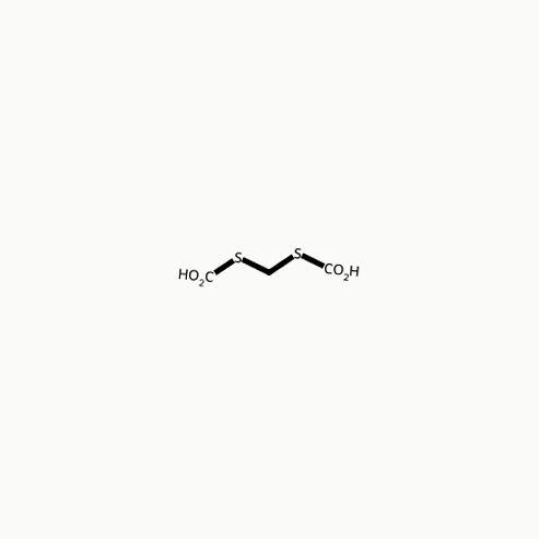 O=C(O)SCSC(=O)O